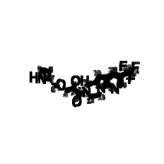 O=C(C(O)COC[C@H]1CCN1)N1CCn2c(cc3cc(C(F)(F)F)cnc32)C1